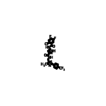 Cc1nc(-c2ccc(C(F)(F)F)cc2)sc1CNC(=O)c1cc(NC(=O)c2cc(F)c(F)cc2Cl)[nH]n1